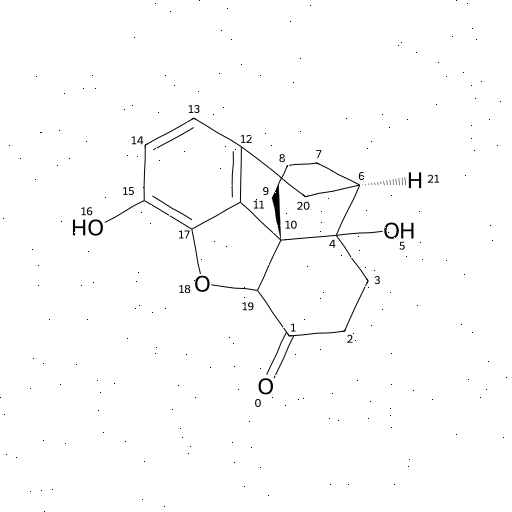 O=C1CCC2(O)[C@@H]3CCC[C@@]24c2c(ccc(O)c2OC14)C3